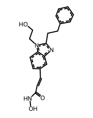 O=C(C=Cc1ccc2c(c1)nc(CCc1ccccc1)n2CCO)NO